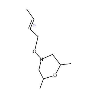 C/C=C/CON1CC(C)OC(C)C1